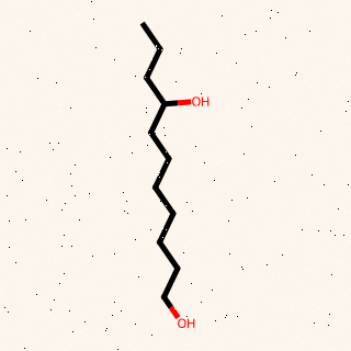 CCCC(O)CCCCCCCO